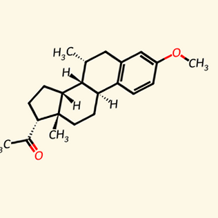 COc1ccc2c(c1)C[C@@H](C)[C@@H]1[C@@H]2CC[C@@]2(C)[C@@H]1CC[C@H]2C(C)=O